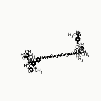 CCN(c1cc(-c2ccc(OCCOCCOCCOCCOCCOCCOCC(=O)NC(C(=O)N3CCC[C@H]3C(=O)NCc3ccc(-c4scnc4C)cc3)C(C)(C)C)cc2)cc(C(=O)NCc2c(C)cc(C)[nH]c2=O)c1C)C1CCOCC1